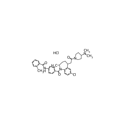 Cc1ccccc1C(=O)Nc1ccc(C(=O)N2c3ccc(Cl)cc3C(CC(=O)N3CCC(N(C)C)CC3)CCC2C)cc1.Cl